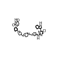 O=C1CCN(c2cccc(N3CCC(CN4CCN(CCN5CC[C@@H](Nc6ncc(Cl)c(-c7c[nH]c8ccccc78)n6)C5)CC4)CC3)c2)C(=O)N1